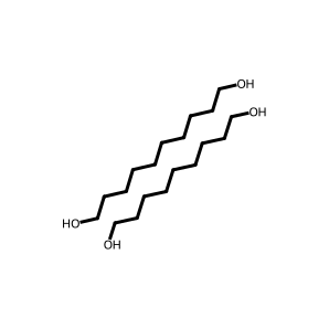 OCCCCCCCCCCO.OCCCCCCCCCO